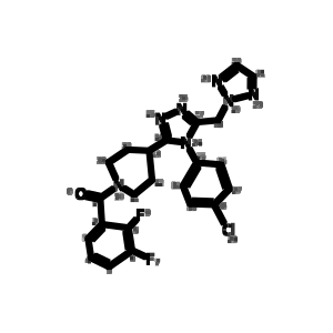 O=C(c1cccc(F)c1F)N1CCC(c2nnc(Cn3nccn3)n2-c2ccc(Cl)cc2)CC1